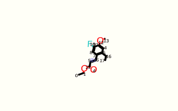 CCOC(=O)/C=C/c1cc(F)c(OC)cc1CC